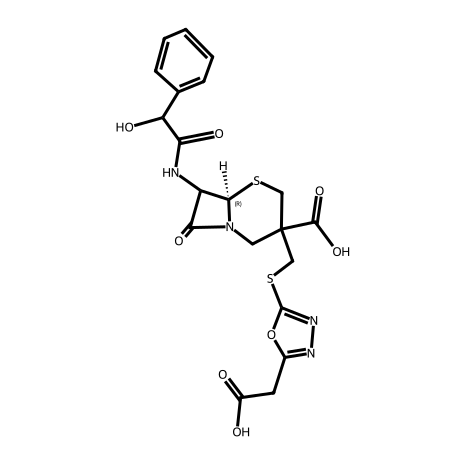 O=C(O)Cc1nnc(SCC2(C(=O)O)CS[C@@H]3C(NC(=O)C(O)c4ccccc4)C(=O)N3C2)o1